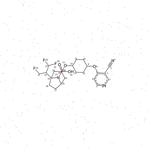 N#Cc1cnccc1OC1CCC(OC2CC3CCC(C(CF)C(F)F)(C2)N3C(=O)O)CC1